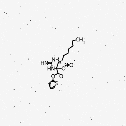 CCCCCCCCC(NC(=N)N)(ON=O)C(=O)Oc1cccs1